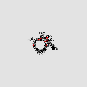 C[C@@H](O)[C@@H]1NC(=O)[C@H]2NC(=O)[C@@H](NC(=O)CN)CCCn3cc(nn3)C[C@H](NC(=O)[C@H](CCCNC(=N)N)NC(=O)[C@@H]3CCCN3C(=O)[C@H](CC(=O)O)NC1=O)C(=O)N[C@@H](CCCNC(N)=O)C(=O)NC(Cc1ccc(O)c(I)c1)C(=O)N[C@@H](CCC(N)=O)C(=O)N[C@H](C(=O)N[C@@H](Cc1ccc(O)cc1)C(N)=O)CSS2